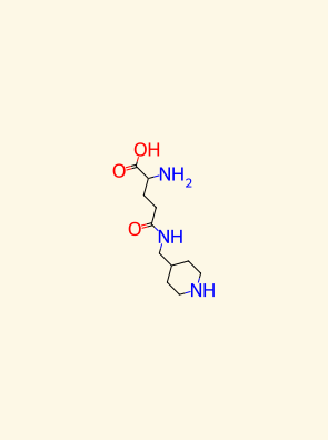 NC(CCC(=O)NCC1CCNCC1)C(=O)O